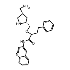 NC[C@@H]1CN[C@@H](COC(CCc2ccccc2)C(=O)Nc2cnc3ccccc3c2)C1